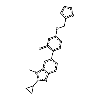 Cn1c(C2CC2)nc2ccc(-n3ccc(OCc4ccco4)cc3=O)cc21